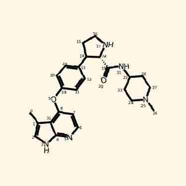 Cc1c[nH]c2nccc(Oc3ccc(C4CCN[C@@H]4C(=O)NC4CCN(C)CC4)cc3)c12